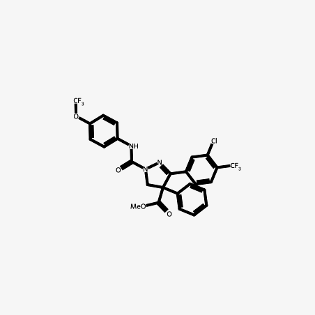 COC(=O)C1(c2ccccc2)CN(C(=O)Nc2ccc(OC(F)(F)F)cc2)N=C1c1ccc(C(F)(F)F)c(Cl)c1